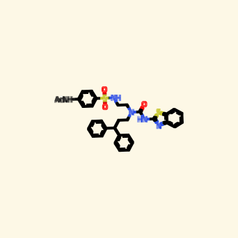 CC(=O)Nc1ccc(S(=O)(=O)NCCN(CCC(c2ccccc2)c2ccccc2)C(=O)Nc2nc3ccccc3s2)cc1